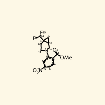 COC(=O)c1ccc([N+](=O)[O-])cc1N1CCC2(C(F)F)CC2C1